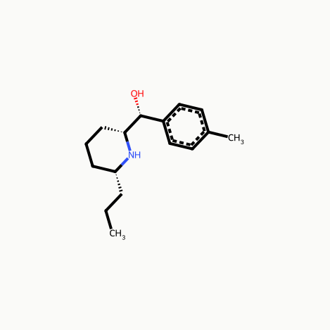 CCC[C@@H]1CCC[C@H]([C@H](O)c2ccc(C)cc2)N1